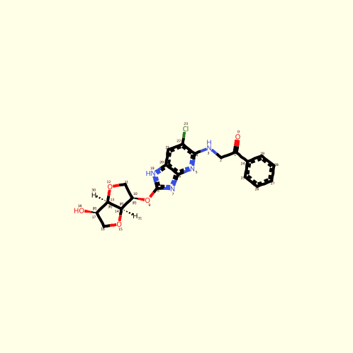 O=C(CNc1nc2nc(O[C@@H]3CO[C@H]4[C@@H]3OC[C@H]4O)[nH]c2cc1Cl)c1ccccc1